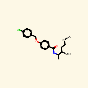 CC[CH2][Cr][CH2]CC(OC)C(C)NC(=O)c1ccc(OCc2ccc(Cl)cc2)cc1